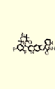 CN1C[C@@](C)(c2cc(F)cc(F)c2)N(Cc2cnc3cc4c(cc3c2)C[C@@]2(C4)C(=O)Nc3ncccc32)C(=O)C1(C)C